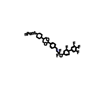 CCCCCC1CCC(C2COC(c3ccc(/C=C/C(F)(F)Oc4ccc(-c5cc(F)c(F)c(F)c5)c(F)c4)cc3)OC2)CC1